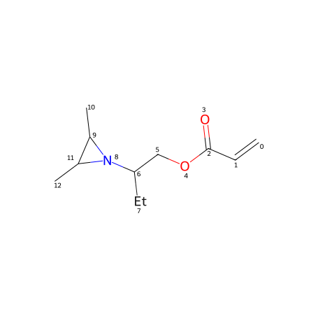 C=CC(=O)OCC(CC)N1C(C)C1C